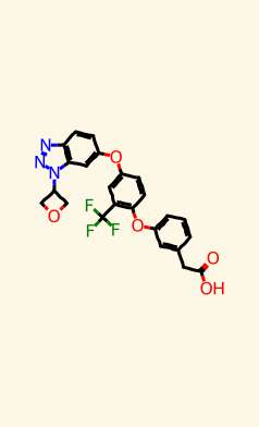 O=C(O)Cc1cccc(Oc2ccc(Oc3ccc4nnn(C5COC5)c4c3)cc2C(F)(F)F)c1